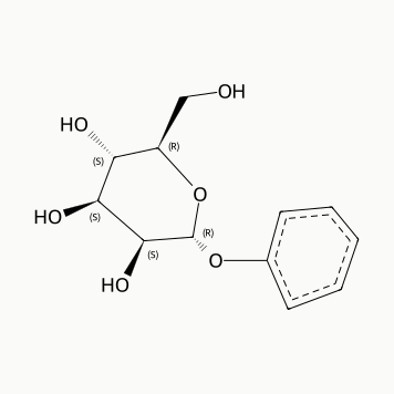 OC[C@H]1O[C@H](Oc2ccccc2)[C@@H](O)[C@@H](O)[C@@H]1O